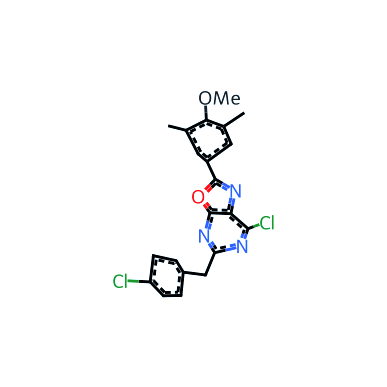 COc1c(C)cc(-c2nc3c(Cl)nc(Cc4ccc(Cl)cc4)nc3o2)cc1C